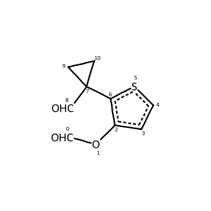 O=COc1ccsc1C1(C=O)CC1